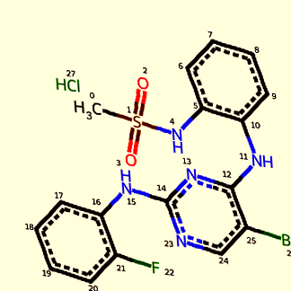 CS(=O)(=O)Nc1ccccc1Nc1nc(Nc2ccccc2F)ncc1Br.Cl